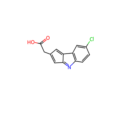 O=C(O)CC1=CC2=Nc3ccc(Cl)cc3C2=C1